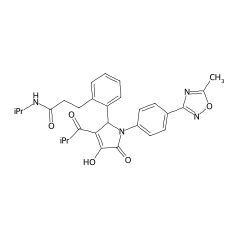 Cc1nc(-c2ccc(N3C(=O)C(O)=C(C(=O)C(C)C)C3c3ccccc3CCC(=O)NC(C)C)cc2)no1